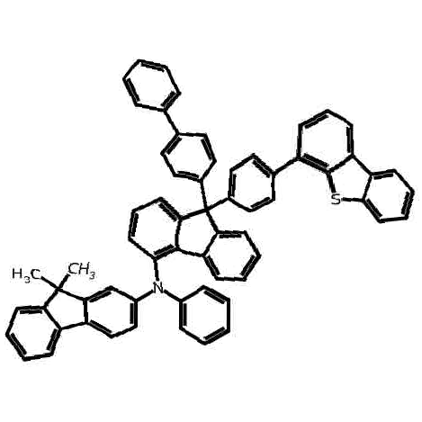 CC1(C)c2ccccc2-c2ccc(N(c3ccccc3)c3cccc4c3-c3ccccc3C4(c3ccc(-c4ccccc4)cc3)c3ccc(-c4cccc5c4sc4ccccc45)cc3)cc21